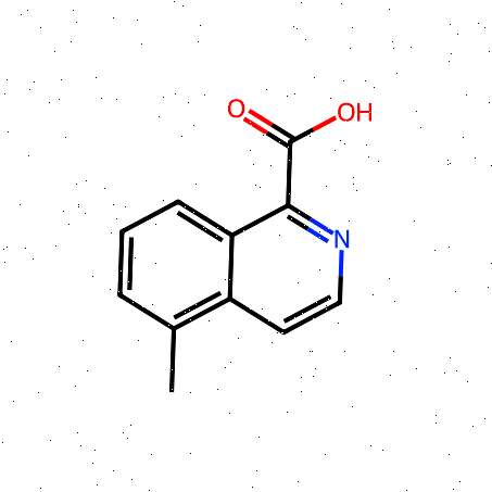 Cc1cccc2c(C(=O)O)nccc12